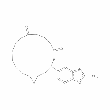 Cc1nc2cc(C3CC4OC4CCCCCCC(=O)CCCC(=O)O3)ccc2o1